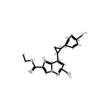 CCOC(=O)c1cn2nc(Cl)cc(C3CC3c3ccc(F)cc3)c2n1